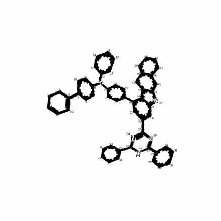 C1=CCCC(c2ccc(N(c3ccccc3)c3ccc(-c4cc(C5=NC(c6ccccc6)NC(c6ccccc6)=N5)cc5oc6cc7ccccc7cc6c45)cc3)cc2)=C1